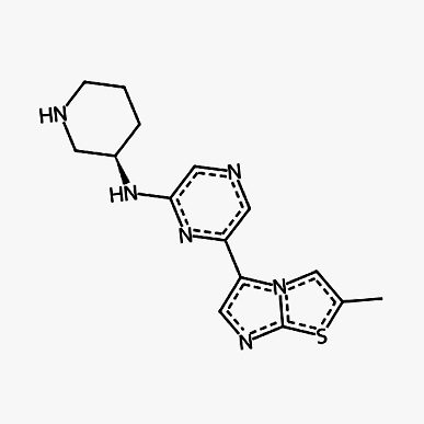 Cc1cn2c(-c3cncc(N[C@@H]4CCCNC4)n3)cnc2s1